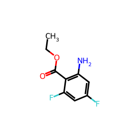 CCOC(=O)c1c(N)cc(F)cc1F